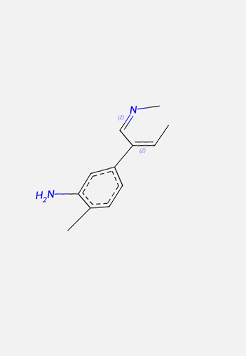 C/C=C(\C=N/C)c1ccc(C)c(N)c1